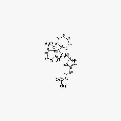 COC1(N(C(=O)Nc2ncc(SCCC(=O)O)s2)C2CCCCCC2)CCCCC1